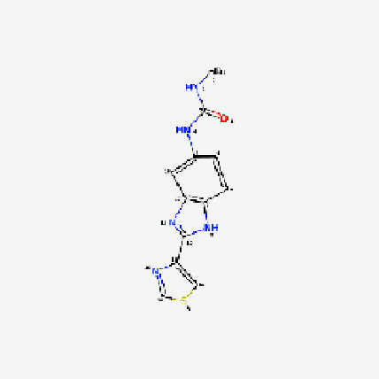 CCCCNC(=O)Nc1ccc2[nH]c(-c3cscn3)nc2c1